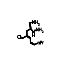 CCC/C=C\C=C(/CCl)C/C(=C/N)NN